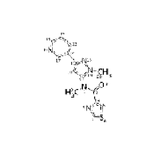 CN(C(=O)c1cscn1)c1cc(-c2cccnc2)nn1C